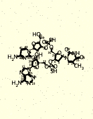 Cc1cn([C@H]2C[C@@H](OP(=O)(S)OC[C@H]3O[C@@H](n4cnc5c(N)ncnc54)C[C@H]3O)[C@@H](COP(=O)(S)O[C@@H]3C[C@H](n4ccc(N)nc4=O)O[C@@H]3CO)O2)c(=O)[nH]c1=O